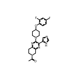 CC(=O)N1CCc2nc(N3CCC(Oc4ccc(F)cc4F)CC3)c(-c3cnc[nH]3)nc2C1